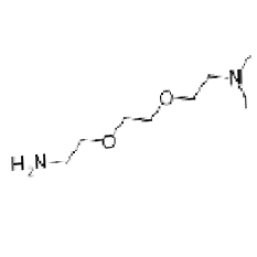 CN(I)CCOCCOCCN